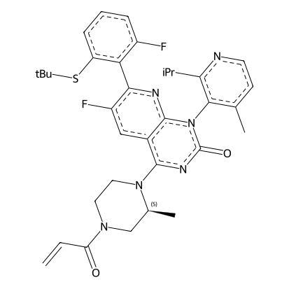 C=CC(=O)N1CCN(c2nc(=O)n(-c3c(C)ccnc3C(C)C)c3nc(-c4c(F)cccc4SC(C)(C)C)c(F)cc23)[C@@H](C)C1